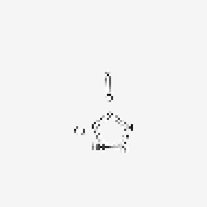 O=S.[Cu].c1c[nH]nn1